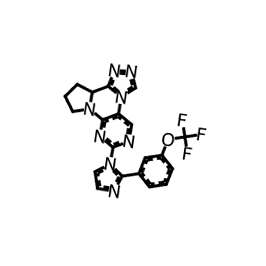 FC(F)(F)Oc1cccc(-c2nccn2-c2ncc3c(n2)N2CCCC2c2nncn2-3)c1